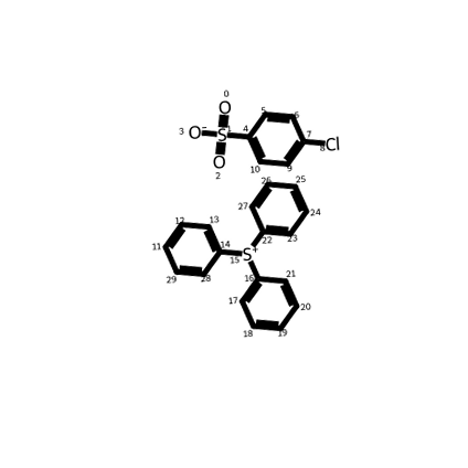 O=S(=O)([O-])c1ccc(Cl)cc1.c1ccc([S+](c2ccccc2)c2ccccc2)cc1